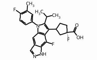 Cc1cc(-n2c(C(C)C)c(C3CC[C@@](F)(C(=O)O)C3)c3c(F)c4[nH]ncc4cc32)ccc1F